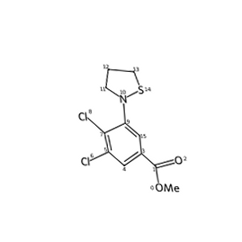 COC(=O)c1cc(Cl)c(Cl)c(N2CCCS2)c1